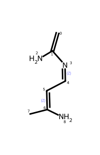 C=C(N)/N=C\C=C(\C)N